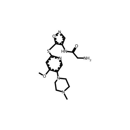 COc1cc(Sc2oncc2NC(=O)CN)ncc1N1CCN(C)CC1